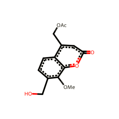 COc1c(CO)ccc2c(COC(C)=O)cc(=O)oc12